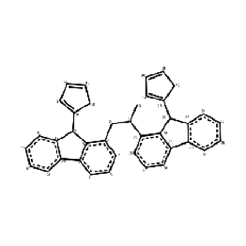 C[C](Cc1cccc2c1C(C1=CC=CC1)c1ccccc1-2)c1cccc2c1C(C1=CC=CC1)c1ccccc1-2